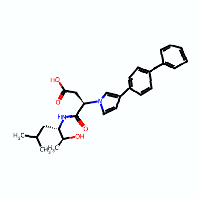 CC(C)C[C@H](NC(=O)[C@@H](CC(=O)O)n1ccc(-c2ccc(-c3ccccc3)cc2)c1)[C@H](C)O